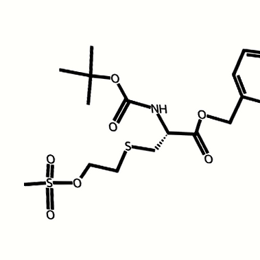 CC(C)(C)OC(=O)N[C@@H](CSCCOS(C)(=O)=O)C(=O)OCc1ccccc1